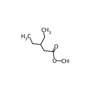 [CH]OC(=O)CC(CC)CC